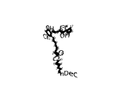 CCCCCCCCCCCCCC=CCOC(=O)CCCC=CC[C@@H]1[C@@H](C=CC[C@H](O)C2(CC)CCC2)[C@H](O)C[C@H]1Cl